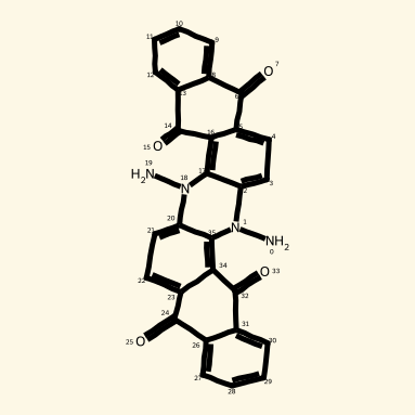 Nn1c2ccc3c(=O)c4ccccc4c(=O)c3c2n(N)c2ccc3c(=O)c4ccccc4c(=O)c3c21